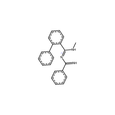 CN/C(=N\C(=N)c1ccccc1)c1ccccc1-c1ccccc1